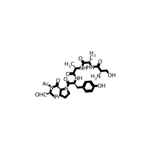 CC(=O)N(C(=O)[C@@H]1CCCN1C(=O)[C@H](Cc1ccc(O)cc1)NC(=O)[C@H](C)NC(=O)[C@H](C)NC(=O)[C@@H](N)CO)[C@H]([C]=O)C(C)C